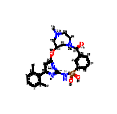 Cc1cccc(C)c1-c1cc2nc(n1)NS(=O)(=O)c1cccc(c1)C(=O)N1CCN(C)CC(C1)O2